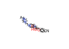 CC(=O)N1CCN(CCCN2CC3CN(CC(O)COc4ccc(C#N)cc4)CC(C2)O3)CC1